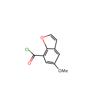 COc1cc(C(=O)Cl)c2occc2c1